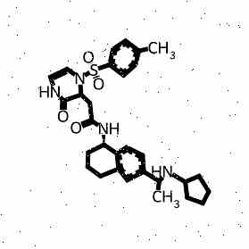 Cc1ccc(S(=O)(=O)N2C=CNC(=O)C2CC(=O)N[C@@H]2CCCc3cc(C(C)NC4CCCC4)ccc32)cc1